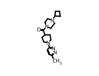 Cc1ccc(N2CCC(C(=O)N3CCN(C4CCC4)CC3)CC2)nn1